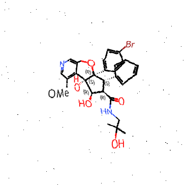 COc1cncc2c1[C@]1(O)[C@H](O)[C@H](C(=O)NCC(C)(C)O)[C@@H](c3ccccc3)[C@]1(c1ccc(Br)cc1)O2